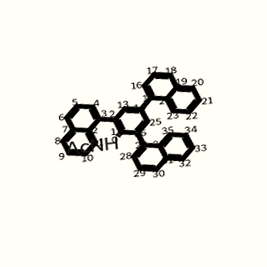 CC(=O)Nc1c(-c2cccc3ccccc23)cc(-c2cccc3ccccc23)cc1-c1cccc2ccccc12